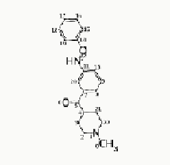 CN1CCC(C(=O)c2cccc(NOc3ccccc3)c2)CC1